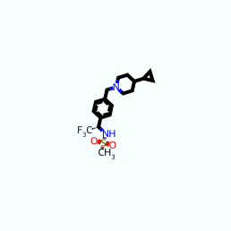 CS(=O)(=O)N[C@@H](c1ccc(CN2CCC(C3CC3)CC2)cc1)C(F)(F)F